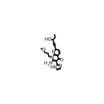 CCC(O)C#Cc1ccc2c(=O)c(-c3ncc[nH]3)c(N)n(CCCOC)c2n1